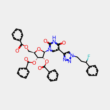 O=C(OC[C@H]1O[C@@H](n2cc(-c3cn(CCC(F)c4ccccc4)nn3)c(=O)[nH]c2=O)[C@H](OC(=O)c2ccccc2)[C@@H]1OC(=O)c1ccccc1)c1ccccc1